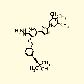 CC1CN(c2ncc(-c3cnc(NN)c(OCc4cccc(C#CC(C)(C)O)c4)c3)s2)CC(C)N1C